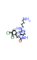 NCCCCNc1ncc2[nH]c(=O)n(Cc3cccc(Cl)c3Cl)c2n1